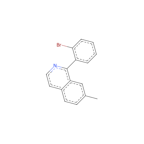 Cc1ccc2ccnc(-c3ccccc3Br)c2c1